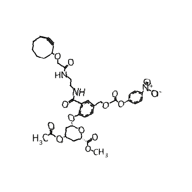 COC(=O)[C@@H]1C[C@H](OC(C)=O)C[C@H](Oc2ccc(COC(=O)Oc3ccc([N+](=O)[O-])cc3)cc2C(=O)NCCNC(=O)COC2C#CCCCCC2)O1